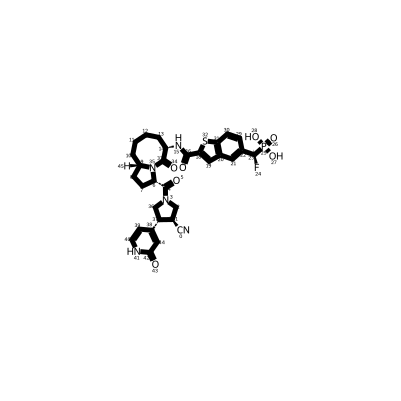 N#C[C@@H]1CN(C(=O)[C@@H]2CC[C@@H]3CCCC[C@H](NC(=O)c4cc5cc([C@H](F)P(=O)(O)O)ccc5s4)C(=O)N32)C[C@H]1c1cc[nH]c(=O)c1